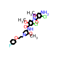 COc1cc(N)c(Cl)cc1C(=O)Nc1cc(OC)c(C(=O)N[C@@H]2CCN(CCCOc3ccc(F)cc3)C[C@@H]2OC)cc1Cl